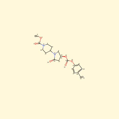 CC(C)(C)OC(=O)N1CCC(N2C[C@@H](OC(=O)Oc3ccc([N+](=O)[O-])cc3)CC2=O)CC1